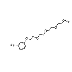 COCCOCCOCCOCCOc1cccc(C(C)C)c1